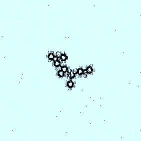 CC1(c2ccccc2)c2ccccc2-c2ccc(-c3ccc(-c4nc(-c5ccccc5)cc(-c5ccc6c(c5)sc5ccccc56)n4)c4ccccc34)cc21